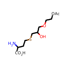 CC(=O)OCCOCC(O)CSCCC(N)C(=O)O